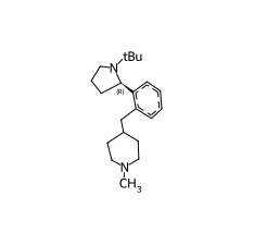 CN1CCC(Cc2ccccc2[C@H]2CCCN2C(C)(C)C)CC1